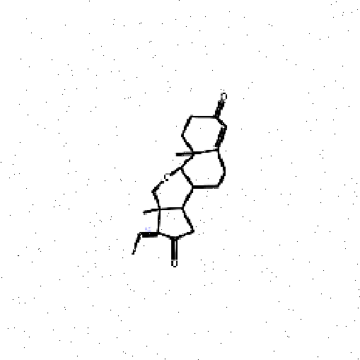 C/C=C1\C(=O)CC2C3CCC4=CC(=O)CCC4(C)C3CCC12C